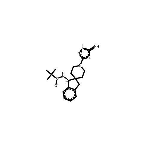 CC(C)(C)[S+]([O-])N[C@@H]1c2ccccc2CC12CCN(c1n[nH]c(=N)s1)CC2